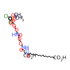 CN(C)S(=O)(=O)c1cc(Cl)cc(Cl)c1OC(=O)COCCOCCNC(=O)COCCOCCNC(=O)CC[C@H](NC(=O)CCCCCCCCCCCCCCCCC(=O)O)C(=O)O